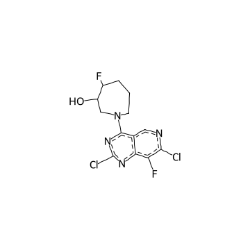 OC1CN(c2nc(Cl)nc3c(F)c(Cl)ncc23)CCCC1F